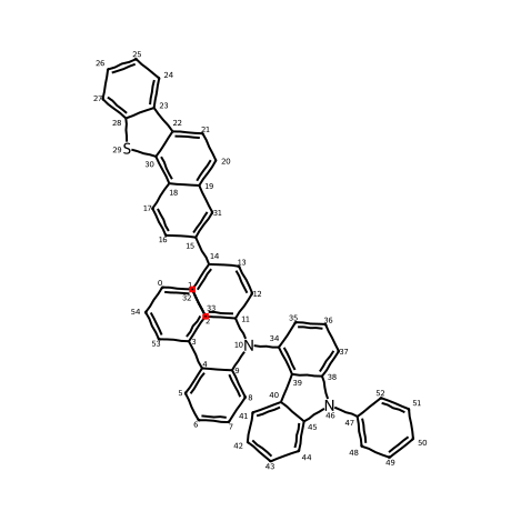 c1ccc(-c2ccccc2N(c2ccc(-c3ccc4c(ccc5c6ccccc6sc45)c3)cc2)c2cccc3c2c2ccccc2n3-c2ccccc2)cc1